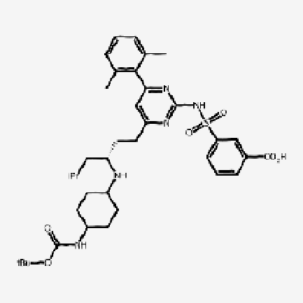 Cc1cccc(C)c1-c1cc(CC[C@@H](CC(C)C)NC2CCC(NC(=O)OC(C)(C)C)CC2)nc(NS(=O)(=O)c2cccc(C(=O)O)c2)n1